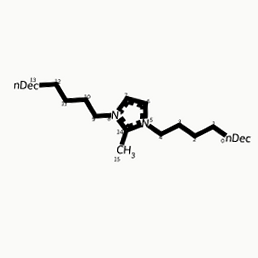 CCCCCCCCCCCCCCn1cc[n+](CCCCCCCCCCCCCC)c1C